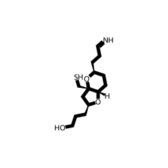 N=CCC[C@H]1CC[C@@H]2O[C@@H](CCCO)C[C@]2(CS)O1